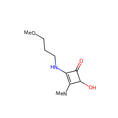 CNC1=C(NCCCOC)C(=O)C1O